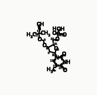 C#CC(C)(C)OCOC1C[C@H](n2cc(C)c(=O)[nH]c2=O)O[C@@H]1COP(=O)(O)O